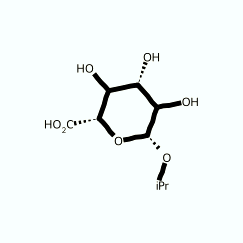 CC(C)O[C@@H]1O[C@H](C(=O)O)C(O)[C@H](O)C1O